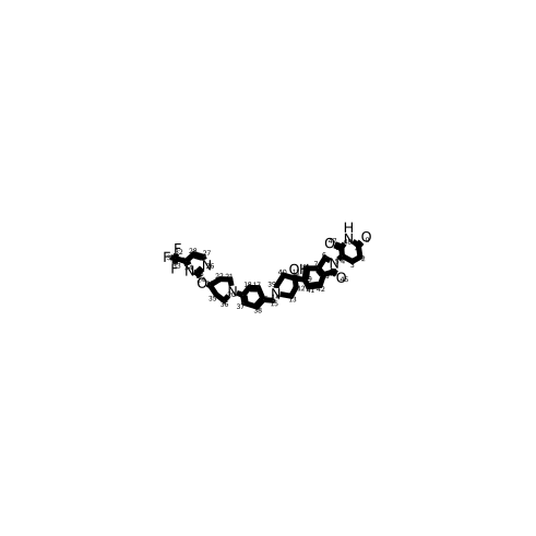 O=C1CCC(N2Cc3cc(C4(O)CCN(Cc5ccc(N6CCC(Oc7nccc(C(F)(F)F)n7)CC6)cc5)CC4)ccc3C2=O)C(=O)N1